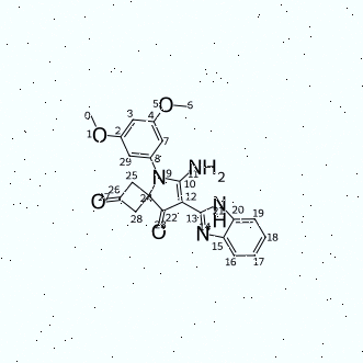 COc1cc(OC)cc(N2C(N)=C(c3nc4ccccc4[nH]3)C(=O)C23CC(=O)C3)c1